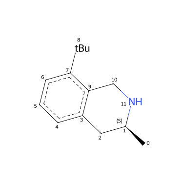 C[C@H]1Cc2cccc(C(C)(C)C)c2CN1